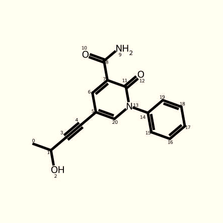 CC(O)C#Cc1cc(C(N)=O)c(=O)n(-c2ccccc2)c1